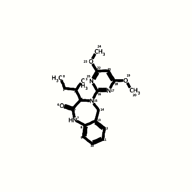 CCC(C)C1C(=O)Nc2ccccc2CN1c1nc(OC)cc(OC)n1